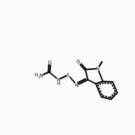 CN1C(=O)/C(=N\SNC(N)=O)c2ccccc21